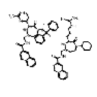 CCC(NC(=N)N)[C@@H]1N[C@H](CNC(=O)c2ccc3ccccc3c2)CCN([C@H](C)C(F)(c2ccccc2)c2ccccc2)C1=O.N=C(N)NCCC[C@@H]1N[C@H](CNC(=O)c2ccc3ccccc3c2)CCN(C2CCCCC2)C1=O